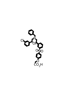 O=C(O)COc1ccc(S(=O)(=O)c2cccc(CCN(Cc3ccccc3)C[C@@H](O)c3cccc(Cl)c3)c2)cc1